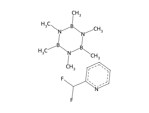 CB1N(C)B(C)N(C)B(C)N1C.FC(F)c1ccccn1